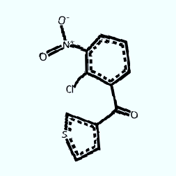 O=C(c1ccsc1)c1cccc([N+](=O)[O-])c1Cl